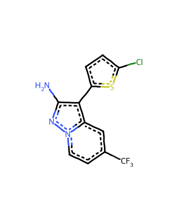 Nc1nn2ccc(C(F)(F)F)cc2c1-c1ccc(Cl)s1